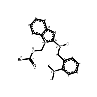 CN(C)c1ccccc1C[S+]([O-])c1nc2ccccc2n1COC(=O)C(C)(C)C